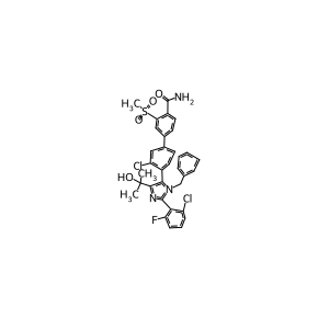 CC(C)(O)c1nc(-c2c(F)cccc2Cl)n(Cc2ccccc2)c1-c1ccc(-c2ccc(C(N)=O)c(S(C)(=O)=O)c2)cc1Cl